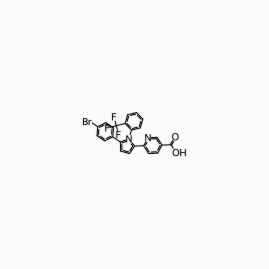 O=C(O)c1ccc(-c2ccc(-c3ccc(Br)cc3)n2-c2ccccc2C(F)(F)F)nc1